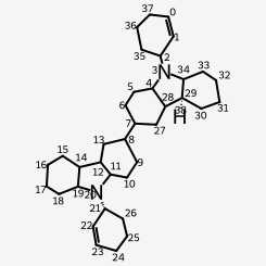 C1=CC(N2C3CCC(C4CCC5C(C4)C4CCCCC4N5[C@H]4C=CCCC4)CC3[C@@H]3CCCCC32)CCC1